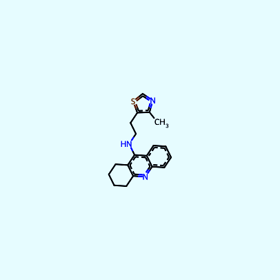 Cc1ncsc1CCNc1c2c(nc3ccccc13)CCCC2